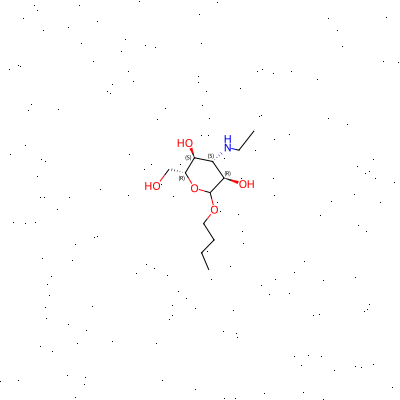 CCCCOC1O[C@H](CO)[C@@H](O)[C@H](NCC)[C@H]1O